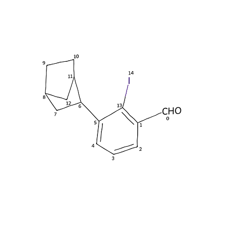 O=Cc1cccc(C2CC3CCC2C3)c1I